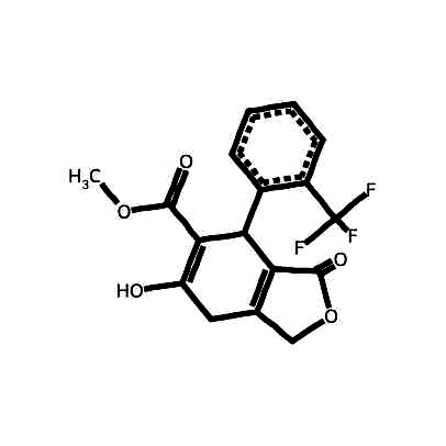 COC(=O)C1=C(O)CC2=C(C(=O)OC2)C1c1ccccc1C(F)(F)F